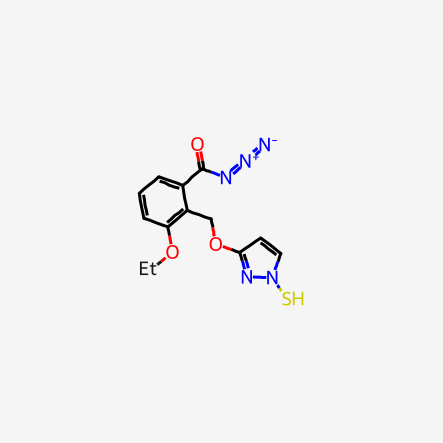 CCOc1cccc(C(=O)N=[N+]=[N-])c1COc1ccn(S)n1